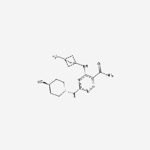 NC(=O)c1cnc(N[C@H]2CC[C@H](O)CC2)nc1NC12CC(C(F)(F)F)(C1)C2